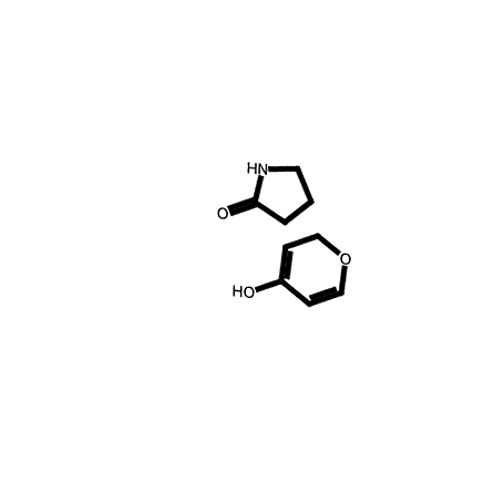 O=C1CCCN1.OC1=CCOC=C1